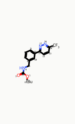 CC(C)(C)OC(=O)NCc1cccc(-c2ccc(C(F)(F)F)nn2)c1